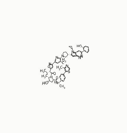 Cc1cc(-c2cc([C@H](C(=O)N3CC(O)CC3C(=O)N[C@@H](C)c3ccc(-c4scnc4C)cc3)C(C)C)on2)cnc1N1CC[C@H](c2cc3nnc(-c4ccccc4O)cc3n2C2CC2)C1